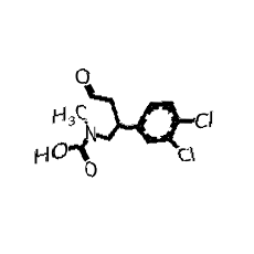 CN(CC(CC=O)c1ccc(Cl)c(Cl)c1)C(=O)O